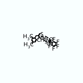 Cc1cc(C)c(Cc2csc(N3CCN(S(=O)(=O)c4c(F)c(F)c(F)c(F)c4F)CC3)n2)c(C)c1